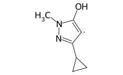 Cn1nc(C2CC2)[c]c1O